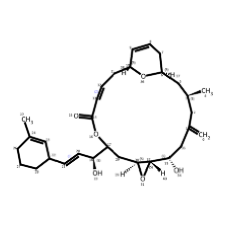 C=C1C[C@H](C)C[C@@H]2CC=C[C@@H](C/C=C\C(=O)OC([C@@H](O)/C=C/C3C=C(C)CCC3)C[C@@H]3O[C@H]3[C@@H](O)C1)O2